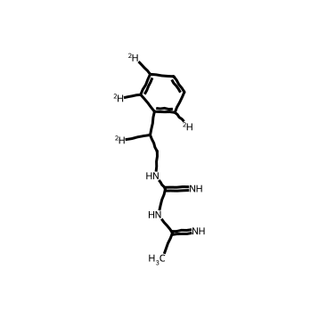 [2H]c1ccc([2H])c(C([2H])CNC(=N)NC(C)=N)c1[2H]